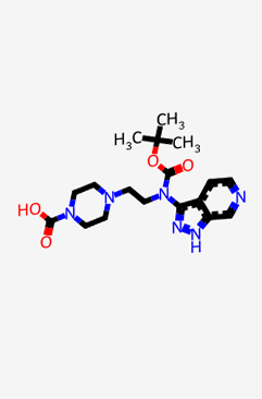 CC(C)(C)OC(=O)N(CCN1CCN(C(=O)O)CC1)c1n[nH]c2cnccc12